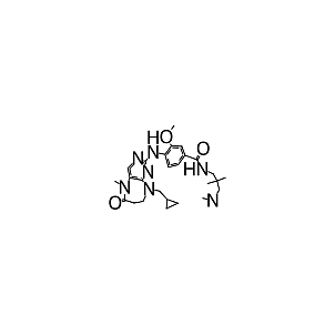 COc1cc(C(=O)NCC(C)(C)CN(C)C)ccc1Nc1ncc2c(n1)N(CC1CC1)CCC(=O)N2C